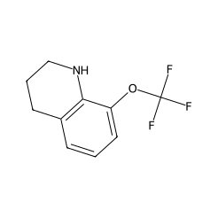 FC(F)(F)Oc1cccc2c1NCCC2